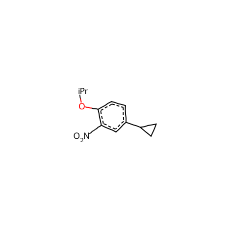 CC(C)Oc1ccc(C2CC2)cc1[N+](=O)[O-]